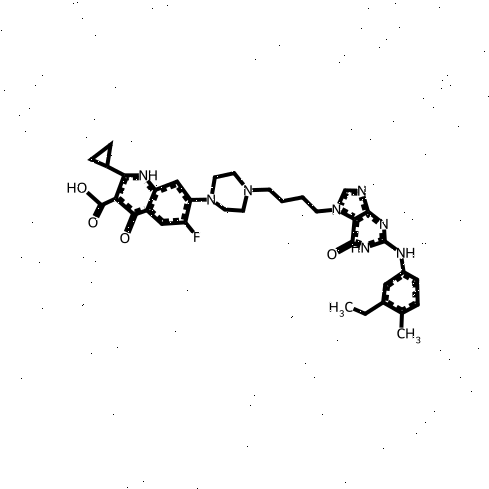 CCc1cc(Nc2nc3ncn(CCCCN4CCN(c5cc6[nH]c(C7CC7)c(C(=O)O)c(=O)c6cc5F)CC4)c3c(=O)[nH]2)ccc1C